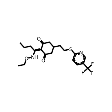 CCCC(NOCC)=C1C(=O)CC(CCSc2ccc(C(F)(F)F)cn2)CC1=O